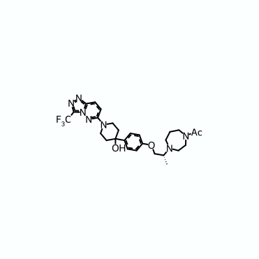 CC(=O)N1CCCN([C@H](C)COc2ccc(C3(O)CCN(c4ccc5nnc(C(F)(F)F)n5n4)CC3)cc2)CC1